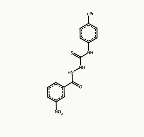 CCCc1ccc(NC(=S)NNC(=O)c2cccc([N+](=O)[O-])c2)cc1